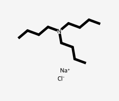 CCCCN(CCCC)CCCC.[Cl-].[Na+]